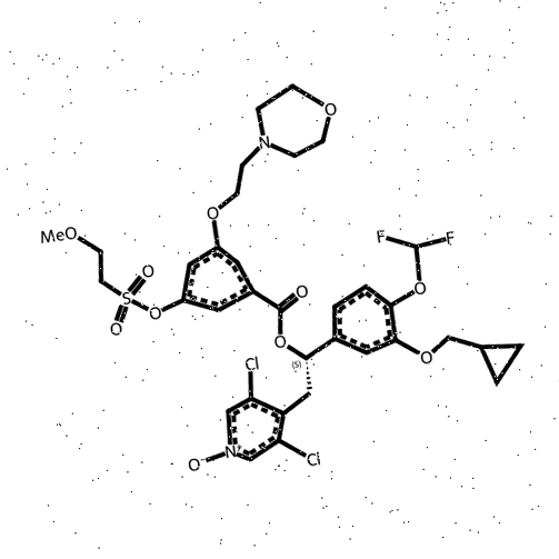 COCCS(=O)(=O)Oc1cc(OCCN2CCOCC2)cc(C(=O)O[C@@H](Cc2c(Cl)c[n+]([O-])cc2Cl)c2ccc(OC(F)F)c(OCC3CC3)c2)c1